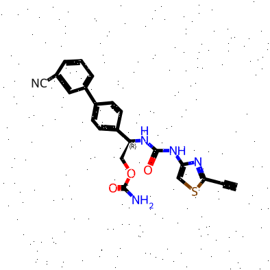 C#Cc1nc(NC(=O)N[C@@H](COC(N)=O)c2ccc(-c3cccc(C#N)c3)cc2)cs1